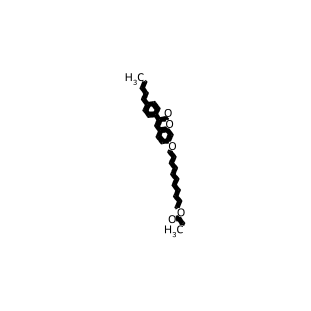 CCCCCc1ccc(-c2cc3ccc(OCCCCCCCCCCCOC(=O)CC)cc3oc2=O)cc1